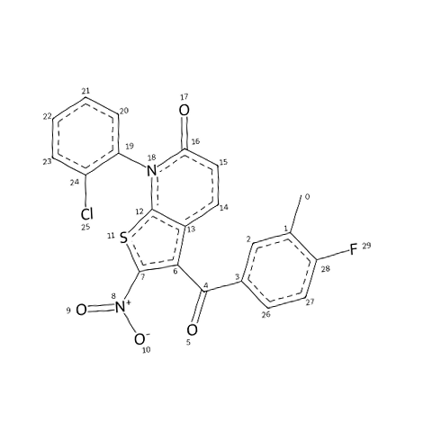 Cc1cc(C(=O)c2c([N+](=O)[O-])sc3c2ccc(=O)n3-c2ccccc2Cl)ccc1F